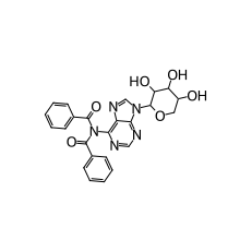 O=C(c1ccccc1)N(C(=O)c1ccccc1)c1ncnc2c1ncn2C1OCC(O)C(O)C1O